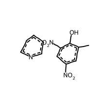 Cc1cc([N+](=O)[O-])cc([N+](=O)[O-])c1O.c1ccncc1